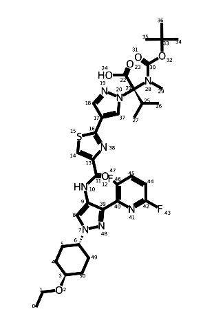 CCO[C@H]1CC[C@H](n2cc(NC(=O)c3csc(-c4cnn([C@@](C(=O)O)(C(C)C)N(C)C(=O)OC(C)(C)C)c4)n3)c(-c3nc(F)ccc3F)n2)CC1